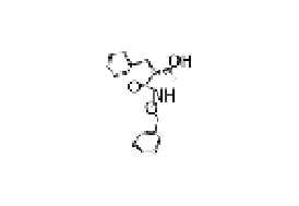 C[C@@H](O)[C@H](Cc1ccccc1)C(=O)NOCc1ccccc1